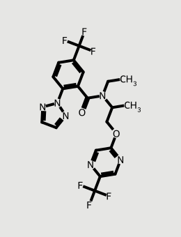 CCN(C(=O)c1cc(C(F)(F)F)ccc1-n1nccn1)C(C)COc1cnc(C(F)(F)F)cn1